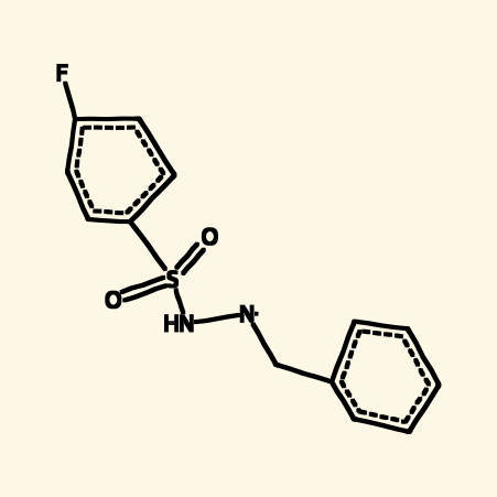 O=S(=O)(N[N]Cc1ccccc1)c1ccc(F)cc1